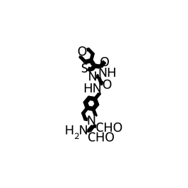 N/C(C=O)=C(/C=O)N1CCc2ccc(CNC(=O)c3nc4sc5c(c4c(=O)[nH]3)CCOC5)cc2C1